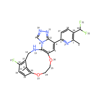 Cc1nc(-c2cc3c(n4cnnc24)NCc2c(F)ccc(c2C)OCCO3)ccc1C(F)F